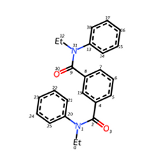 CCN(C(=O)c1cccc(C(=O)N(CC)c2ccccc2)c1)c1ccccc1